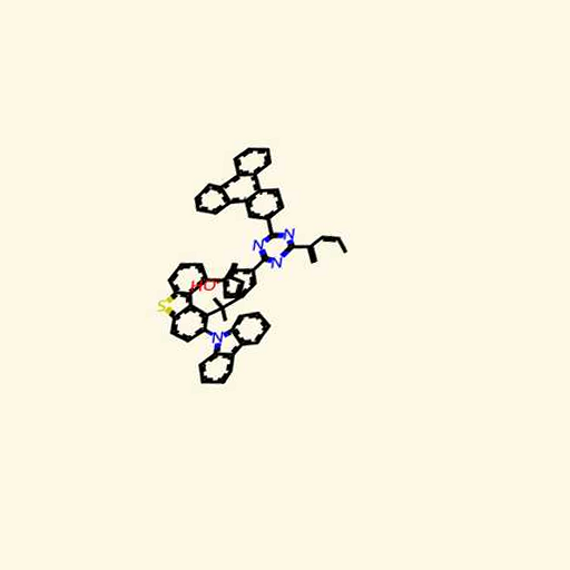 C=C(O)/C=C\C(C)(C)c1c(-n2c3ccccc3c3ccccc32)ccc2sc3cccc(-c4cccc(-c5nc(C(=C)/C=C\C)nc(-c6ccc7c8ccccc8c8ccccc8c7c6)n5)c4)c3c12